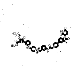 Cn1c(=O)n(C2CCC(=O)NC2=O)c2ccc(C3CCN(CC(=O)Nc4cccc(CS(=O)(=O)N5CCC(Nc6cccc(-c7sc(C(=O)OC(C)(C)C)c(OCC(=O)O)c7Cl)c6)CC5)c4)CC3)cc21